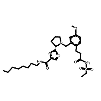 CCCCCCCCNC(=O)c1coc([C@@H]2CCCN2Cc2cc(OC)ccc2CCC(=O)NS(=O)(=O)CC)n1